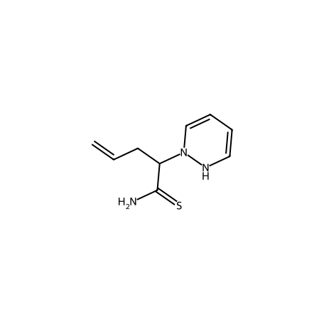 C=CCC(C(N)=S)N1C=CC=CN1